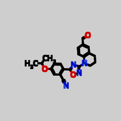 CC(C)Oc1ccc(-c2nc(N3CCCc4cc(C=O)ccc43)no2)c(C#N)c1